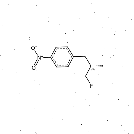 C[C@H](CF)Cc1ccc([N+](=O)[O-])cc1